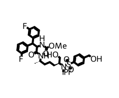 COC(=O)NC(C(=O)N[C@@H](C)CCC[C@@H](CO)N(C(C)C)S(=O)(=O)c1ccc(CO)cc1)C(c1cccc(F)c1)c1cccc(F)c1